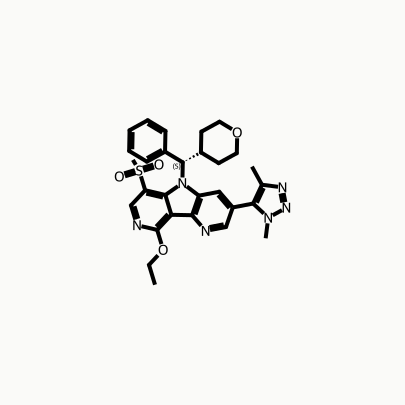 CCOc1ncc(S(C)(=O)=O)c2c1c1ncc(-c3c(C)nnn3C)cc1n2[C@H](c1ccccc1)C1CCOCC1